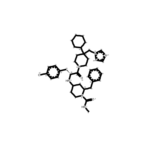 CNC(=O)N1CCC(N[C@H](Cc2ccc(Cl)cc2)C(=O)N2CCC(Cn3cncn3)(C3CCCCC3)CC2)CC1Cc1ccccc1